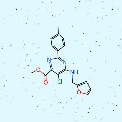 COC(=O)c1nc(-c2ccc(C)cc2)nc(NCc2ccco2)c1Cl